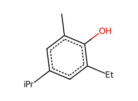 CCc1cc(C(C)C)cc(C)c1O